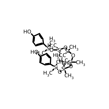 C[Si](C)(O[Si](C)(C)O[Si](C)(C)O[Si](C)(C)c1ccc(O)cc1)O[Si](C)(C)O[Si](C)(C)c1ccc(O)cc1